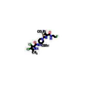 CCOC(=O)c1sc(N2CC[C@@H](NC(=O)c3[nH]c(C)c(Cl)c3Cl)[C@@H](OC)C2)nc1C(=O)NCCF